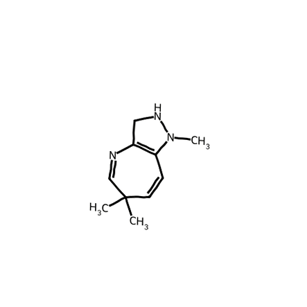 CN1NCC2=C1C=CC(C)(C)C=N2